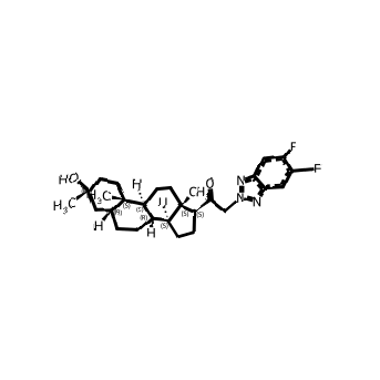 C[C@@]1(O)CC[C@@]2(C)[C@H](CC[C@@H]3[C@@H]2CC[C@]2(C)[C@@H](C(=O)Cn4nc5cc(F)c(F)cc5n4)CC[C@@H]32)C1